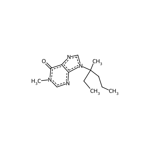 CCCC(C)(CC)n1cnc2c(=O)n(C)cnc21